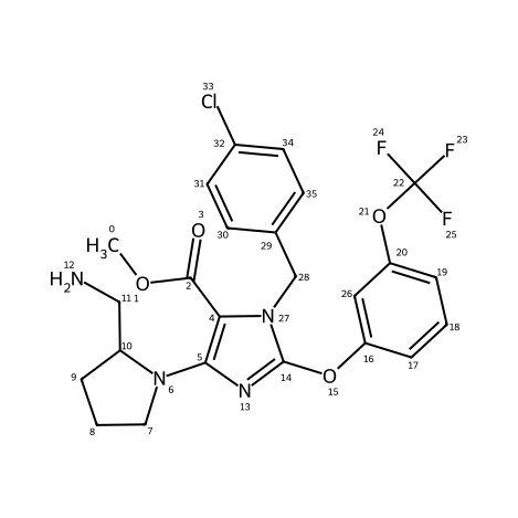 COC(=O)c1c(N2CCCC2CN)nc(Oc2cccc(OC(F)(F)F)c2)n1Cc1ccc(Cl)cc1